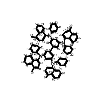 Cc1ccc(N(c2ccccc2)c2cc(-c3cc(N(c4ccccc4)c4ccc(C)c5ccccc45)cc(N(c4ccccc4)c4ccc(C)c5ccccc45)c3)cc(N(c3ccccc3)c3ccc(C)c4ccccc34)c2)c2ccccc12